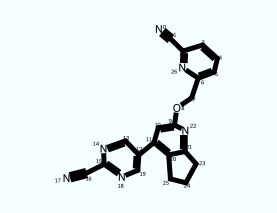 N#Cc1cccc(COc2cc(-c3cnc(C#N)nc3)c3c(n2)CCC3)n1